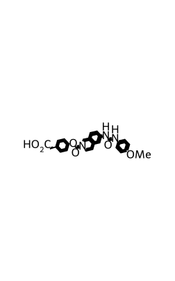 COc1ccc(NC(=O)Nc2ccc3c(c2)CCN(C(=O)O[C@H]2CC[C@H](CC(=O)O)CC2)C3)cc1